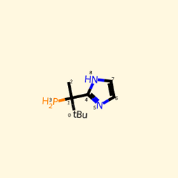 CC(C)(C)C(C)(P)c1ncc[nH]1